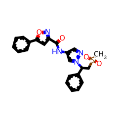 CS(=O)(=O)CC(c1ccccc1)n1cc(NC(=O)c2cc(-c3ccccc3)on2)cn1